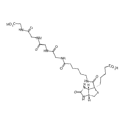 O=C(O)CCCC[C@]1(C(=O)NCCCCCC(=O)NCC(=O)NCC(=O)NCC(=O)NCC(=O)O)SC[C@@H]2NC(=O)N[C@@H]21